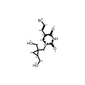 O=c1[nH]c(=O)n(CC2(CO)CC2CO)cc1C=CBr